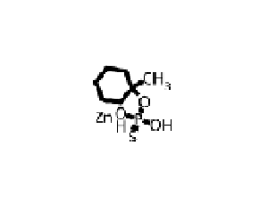 CC1(OP(O)(O)=S)CCCCC1.[Zn]